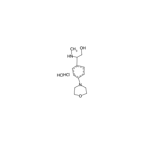 CNC(CO)c1ccc(N2CCOCC2)cc1.Cl.Cl